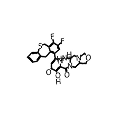 O=C1c2c(O)c(=O)cc(-c3cc(F)c(F)c4c3Cc3ccccc3SC4)n2N[C@@H]2CN3COCC3CN12